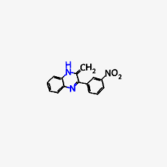 C=C1Nc2ccccc2N=C1c1cccc([N+](=O)[O-])c1